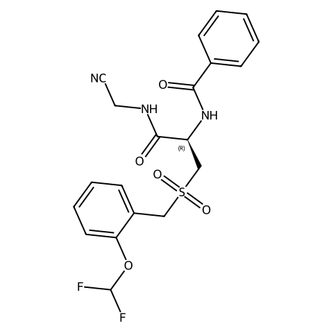 N#CCNC(=O)[C@H](CS(=O)(=O)Cc1ccccc1OC(F)F)NC(=O)c1ccccc1